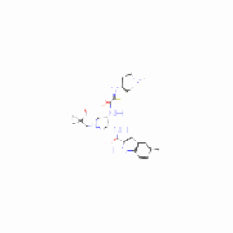 Cc1ccc2[nH]c(C(=O)N[C@@H]3CN(CC4(C=O)CC4)C[C@H]3NC(=O)c3nc4c(s3)CN(C)CC4)cc2c1